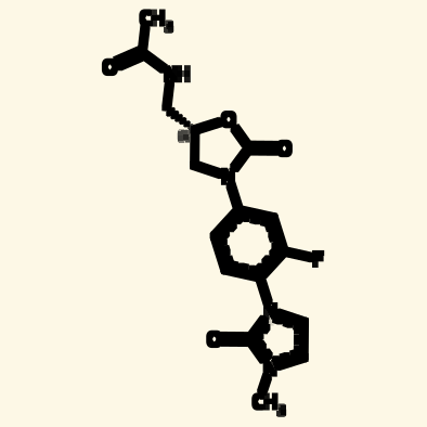 CC(=O)NC[C@H]1CN(c2ccc(-n3ccn(C)c3=O)c(F)c2)C(=O)O1